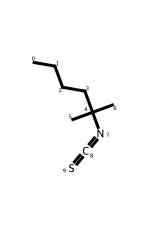 CCCCC(C)(C)N=C=S